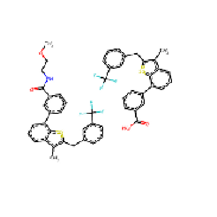 COCCNC(=O)c1cccc(-c2cccc3c(C)c(Cc4cccc(C(F)(F)F)c4)sc23)c1.Cc1c(Cc2cccc(C(F)(F)F)c2)sc2c(-c3cccc(C(=O)O)c3)cccc12